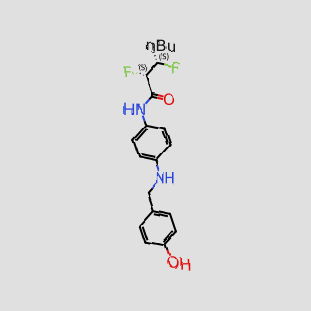 CCCC[C@H](F)[C@@H](F)C(=O)Nc1ccc(NCc2ccc(O)cc2)cc1